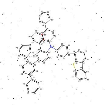 c1ccc(-c2ccc(N(c3ccc(-c4cccc5c4sc4ccccc45)cc3)c3ccc(-c4cc(-c5ccccc5)ccc4-c4ccccc4)cc3-c3ccccc3)cc2)cc1